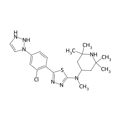 CN(c1nnc(-c2ccc(N3C=CNN3)cc2Cl)s1)C1CC(C)(C)NC(C)(C)C1